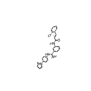 N=C(Nc1ccc(-n2cccn2)cc1)c1cccc(NC(=O)/C=C/c2ccccc2Cl)c1